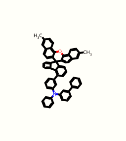 Cc1ccc2c3c(ccc2c1)C1(c2ccccc2-c2c(-c4cccc(N(c5ccccc5)c5cccc(-c6ccccc6)c5)c4)cccc21)c1ccc2cc(C)ccc2c1O3